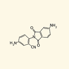 N#Cc1cc(N)ccc1N1C(=O)c2ccc(N)cc2C1=O